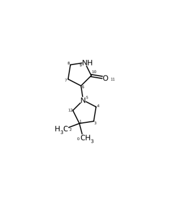 CC1(C)CCN(C2CCNC2=O)C1